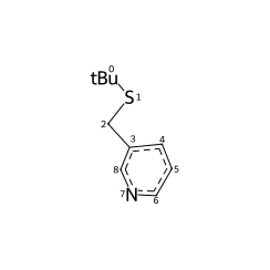 CC(C)(C)SCc1cccnc1